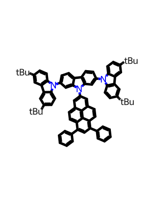 CC(C)(C)c1ccc2c(c1)c1cc(C(C)(C)C)ccc1n2-c1ccc2c3ccc(-n4c5ccc(C(C)(C)C)cc5c5cc(C(C)(C)C)ccc54)cc3n(-c3cc4ccc5c(-c6ccccc6)cc(-c6ccccc6)c6ccc(c3)c4c56)c2c1